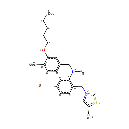 CCCCCCCCCCCCCCOc1cc(CN(C(C)=O)c2ccccc2C[n+]2csc(C)c2)ccc1OC.[Br-]